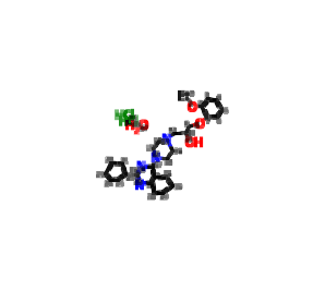 CCOc1ccccc1OCC(O)CN1CCN(c2nc(-c3ccccc3)nc3ccccc23)CC1.Cl.Cl.O